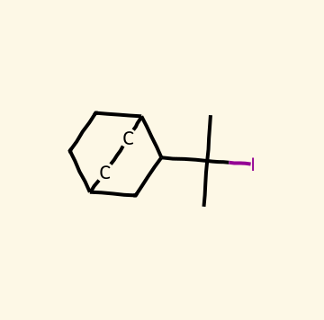 CC(C)(I)C1CC2CCC1CC2